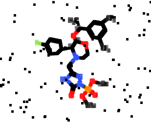 CCCCOP(=O)(OCCCC)n1nc(CN2CCO[C@H](O[C@H](C)c3cc(C(F)(F)F)cc(C(F)(F)F)c3)[C@@H]2C2C=CC(F)=CC2)[nH]c1=O